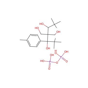 Cc1ccc(C(O)(C(C)(C)C)C(CO)(CO)C(O)C(C)(C)C)cc1.O=P(O)(O)OP(=O)(O)O